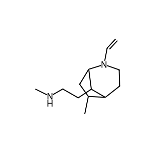 C=CN1CCC2C(C)CC1C2CCNC